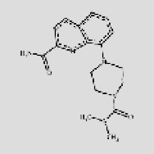 CN(C)C(=O)N1CCN(c2cncc3ccc(C(N)=O)nc23)CC1